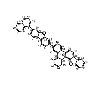 c1ccc2c(-c3ccc4c(c3)oc3cc(-c5ccc6c(c5)c5ccccc5c5c6ccc6c7ccccc7oc65)ccc34)cccc2c1